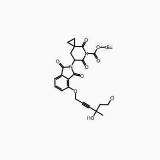 CC(O)(C#CCOc1cccc2c1C(=O)N(C1CC3(CC3)C(=O)N(C(=O)OC(C)(C)C)C1=O)C2=O)CCCl